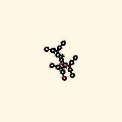 CC1(C)c2cc(N(c3ccc(-c4ccccc4)cc3)c3ccc(-c4ccccc4)cc3)ccc2-c2cc3c(cc21)-c1cc(N(c2ccc(-c4ccccc4)cc2)c2ccc(-c4ccccc4)cc2)cc2c1C3(C)c1cc(-c3ccccc3)ccc1N2c1ccc(-c2ccccc2)cc1